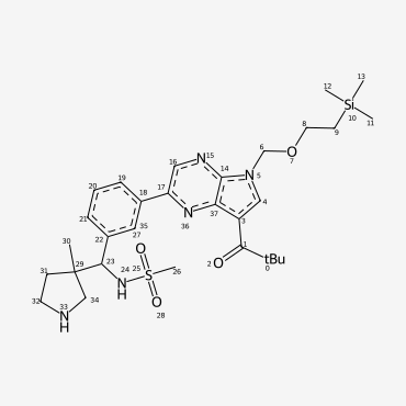 CC(C)(C)C(=O)c1cn(COCC[Si](C)(C)C)c2ncc(-c3cccc(C(NS(C)(=O)=O)C4(C)CCNC4)c3)nc12